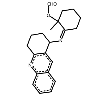 CC1(OC=O)CCCCC1=NC1CCCc2nc3ccccc3cc21